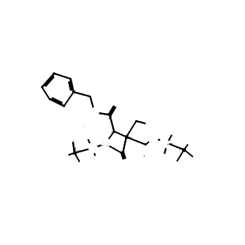 CCC1([C@@H](C)O[Si](C)(C)C(C)(C)C)C(=O)N([Si](C)(C)C(C)(C)C)C1C(=O)OCc1ccccc1